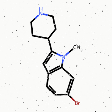 Cn1c(C2CCNCC2)cc2ccc(Br)cc21